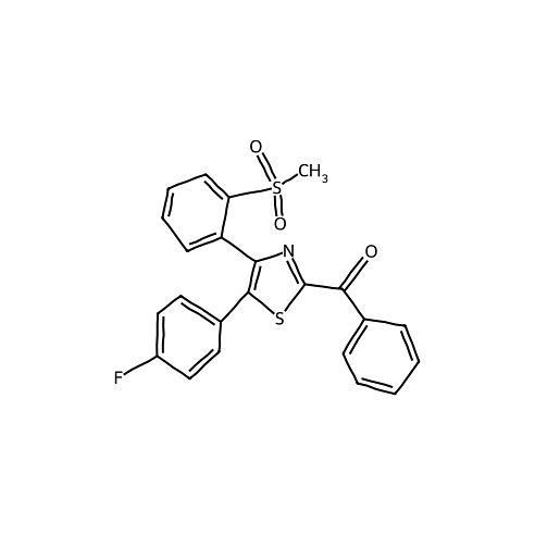 CS(=O)(=O)c1ccccc1-c1nc(C(=O)c2ccccc2)sc1-c1ccc(F)cc1